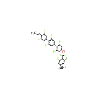 CCCCc1cc(F)c(C(F)(F)Oc2cc(F)c(-c3cc(F)c(-c4cc(F)c(/C=C/C(F)(F)F)c(F)c4)c(F)c3)c(F)c2)c(F)c1